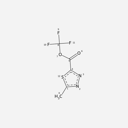 Cc1nnc(C(=O)OC(F)(F)F)s1